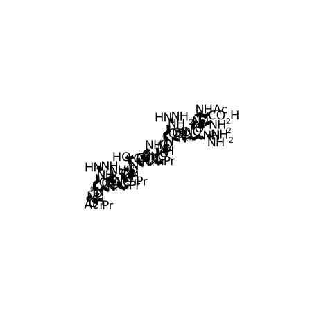 CC(=O)CN(C[C@H](CCCNC(=N)N)NC(=O)CN(C[C@H](CC(C)C)NC(=O)CN(C[C@@H](NC(=O)CN(C[C@H](CC(C)C)NC(=O)CN(C[C@H](CCCNC(=N)N)NC(=O)CN(C[C@H](CCCNC(=N)N)NC(=O)CN(C[C@H](CCC(=O)O)NC(C)=O)S(=O)(=O)CCN)S(C)(=O)=O)S(C)(=O)=O)S(=O)(=O)CCN)C(C)O)S(=O)(=O)CC(C)C)S(=O)(=O)CCN)S(=O)(=O)CC(C)C